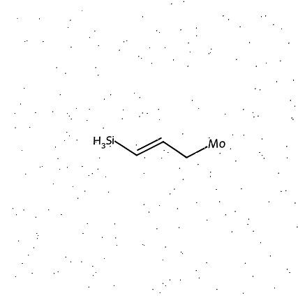 [SiH3]C=C[CH2][Mo]